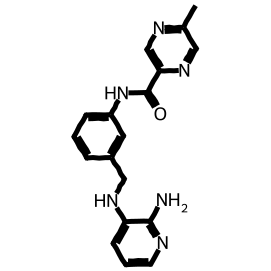 Cc1cnc(C(=O)Nc2cccc(CNc3cccnc3N)c2)cn1